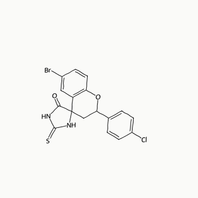 O=C1NC(=S)NC12CC(c1ccc(Cl)cc1)Oc1ccc(Br)cc12